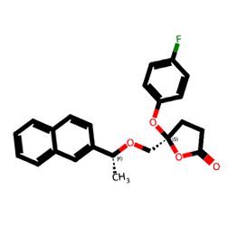 C[C@@H](OC[C@]1(Oc2ccc(F)cc2)CCC(=O)O1)c1ccc2ccccc2c1